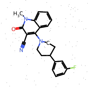 Cn1c(=O)c(C#N)c(N2CCC(c3cccc(F)c3)CC2)c2ccccc21